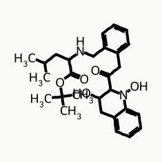 CC(C)CC(NCc1ccccc1CC(=O)C1C(O)Cc2ccccc2N1O)C(=O)OC(C)(C)C